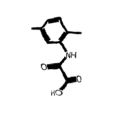 Cc1ccc(C)c(NC(=O)C(=O)O)c1